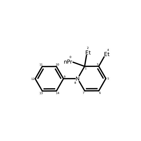 CCCC1(CC)C(CC)=CC=CN1c1ccccc1